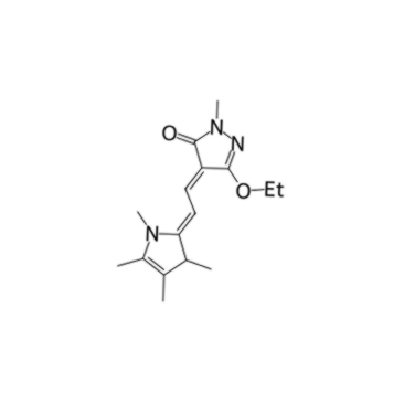 CCOC1=NN(C)C(=O)/C1=C/C=C1/C(C)C(C)=C(C)N1C